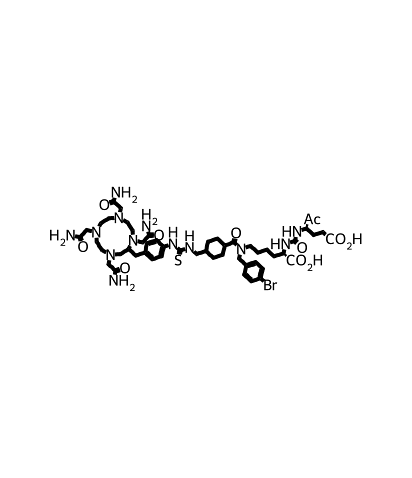 CC(=O)[C@@H](CCC(=O)O)NC(=O)N[C@H](CCCCN(Cc1ccc(Br)cc1)C(=O)C1CCC(CNC(=S)Nc2ccc(CC3CN(CC(N)=O)CCN(CC(N)=O)CCN(CC(N)=O)CCN3CC(N)=O)cc2)CC1)C(=O)O